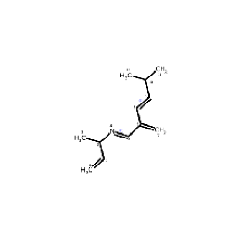 C=CC(C)/N=C/C(=C)/C=C/C(C)C